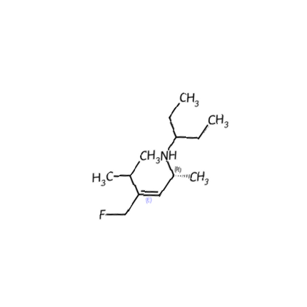 CCC(CC)N[C@H](C)/C=C(/CF)C(C)C